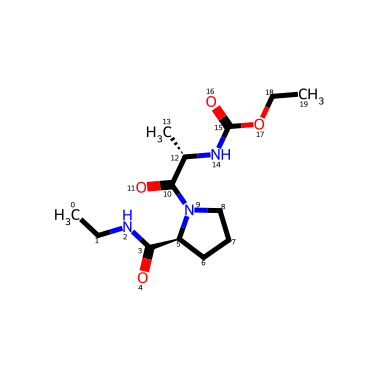 CCNC(=O)[C@@H]1CCCN1C(=O)[C@H](C)NC(=O)OCC